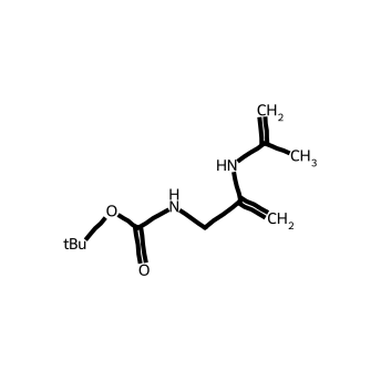 C=C(C)NC(=C)CNC(=O)OC(C)(C)C